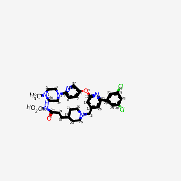 CN1CCN(c2ccc(Oc3cc(CN4CCC(CCC(=O)NC(=O)O)CC4)cc(-c4cc(Cl)cc(Cl)c4)n3)cn2)CC1